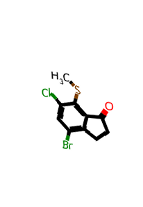 CSc1c(Cl)cc(Br)c2c1C(=O)CC2